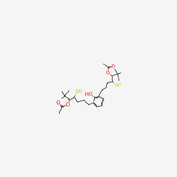 CC(=O)OC(C(S)CCCc1cccc(CCCC(S)C(OC(C)=O)C(C)(C)C)c1O)C(C)(C)C